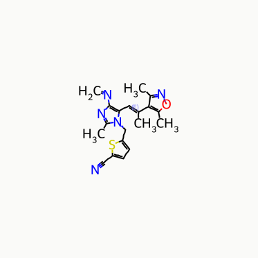 C=Nc1nc(C)n(Cc2ccc(C#N)s2)c1/C=C(\C)c1c(C)noc1C